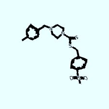 Cc1ccc(CN2CCN(C(=S)SCc3ccc(S(C)(=O)=O)cc3)CC2)cc1